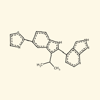 CC(C)c1c(-c2ccnc3n[nH]cc23)[nH]c2ccc(-c3nccs3)cc12